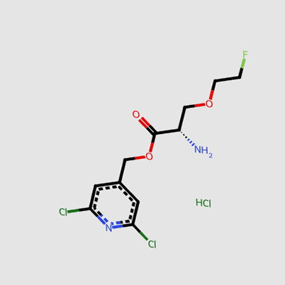 Cl.N[C@@H](COCCF)C(=O)OCc1cc(Cl)nc(Cl)c1